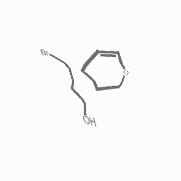 C1=COCCC1.OCCCBr